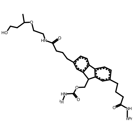 [2H]NC(=O)OCC1c2cc(CCCC(=O)NCCC)ccc2-c2ccc(CCCC(=O)NCCOC(C)CCO)cc21